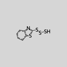 SSSc1nc2ccccc2s1